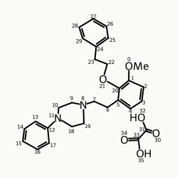 COc1cccc(CCN2CCN(c3ccccc3)CC2)c1OCCc1ccccc1.O=C(O)C(=O)O